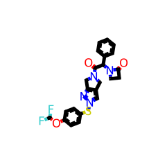 O=C(C(c1ccccc1)N1CCC1=O)N1Cc2cn(Sc3ccc(OC(F)F)cc3)nc2C1